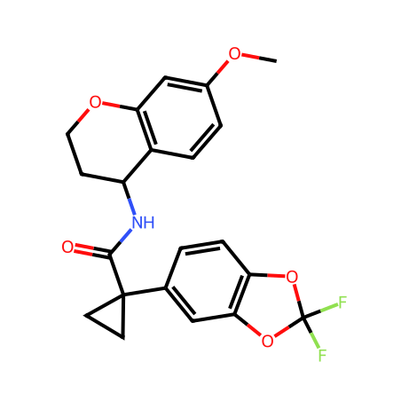 COc1ccc2c(c1)OCCC2NC(=O)C1(c2ccc3c(c2)OC(F)(F)O3)CC1